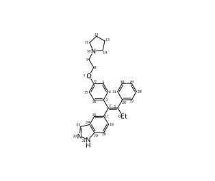 CC/C(=C(/c1ccc(OCCN2CCCC2)cc1)c1ccc2[nH]ncc2c1)c1ccccc1